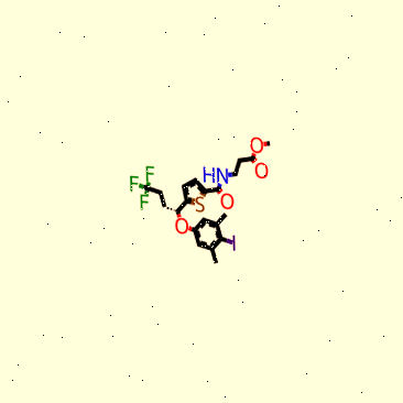 COC(=O)CCNC(=O)c1ccc([C@@H](CCC(F)(F)F)Oc2cc(C)c(I)c(C)c2)s1